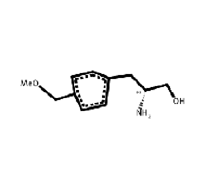 COCc1ccc(C[C@@H](N)CO)cc1